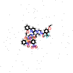 CCOc1ccc(C(=O)N2CCN(c3ccc(-c4ccccc4OCC)nc3CN(CCNS(=O)(=O)c3ccccc3[N+](=O)[O-])S(=O)(=O)c3ccc([N+](=O)[O-])cc3)[C@H](CC)C2)c(C(F)(F)F)c1